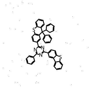 C1=CCC(C2(c3ccccc3)c3ccccc3Sc3ccc(-c4nc(-c5ccccc5)nc(-c5ccc6sc7ccccc7c6c5)n4)cc32)C=C1